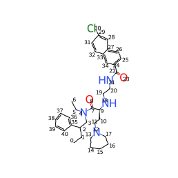 CCC(CN(CC)C(=O)[C@H](CCN1CCCCC1)NCCNC(=O)c1ccc2cc(Cl)ccc2c1)c1ccccc1